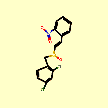 O=[N+]([O-])c1ccccc1C=C[S+]([O-])Cc1ccc(Cl)cc1Cl